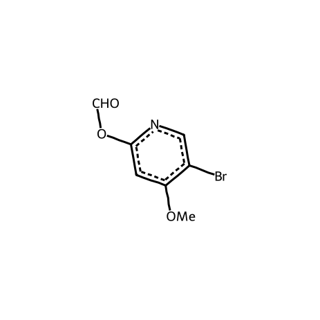 COc1cc(OC=O)ncc1Br